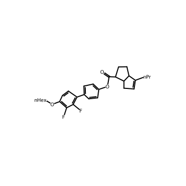 CCCCCCOc1ccc(-c2ccc(OC(=O)C3CCC4C(CCC)=CCC34)cc2)c(F)c1F